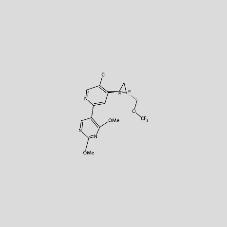 COc1ncc(-c2cc([C@H]3C[C@@H]3COC(F)(F)F)c(Cl)cn2)c(OC)n1